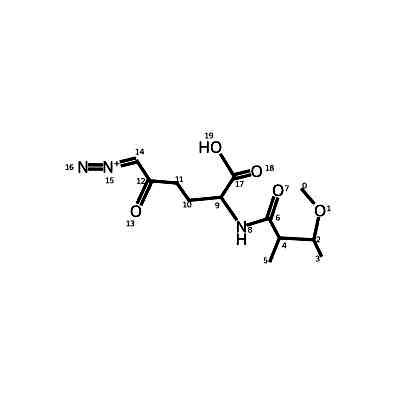 COC(C)C(C)C(=O)NC(CCC(=O)C=[N+]=[N-])C(=O)O